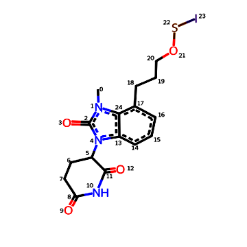 Cn1c(=O)n(C2CCC(=O)NC2=O)c2cccc(CCCOSI)c21